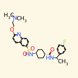 C[C@@H](NC(=O)[C@H]1CC[C@H](NS(=O)(=O)c2ccc3nc(OCCN(C)C)ccc3c2)CC1)c1ccc(F)cc1